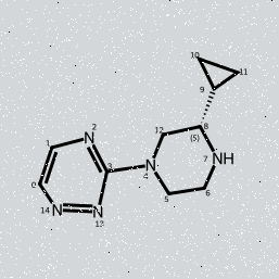 c1cnc(N2CCN[C@@H](C3CC3)C2)nn1